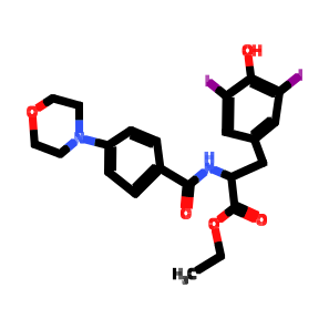 CCOC(=O)C(Cc1cc(I)c(O)c(I)c1)NC(=O)c1ccc(N2CCOCC2)cc1